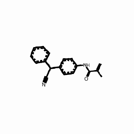 C=C(C)C(=O)Nc1ccc(C(C#N)c2ccccc2)cc1